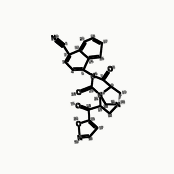 N#Cc1ccc(N2C(=O)C3C[N@]4CC(C(=O)c5ccno5)[N+]3(C4)C2=O)c2ccccc12